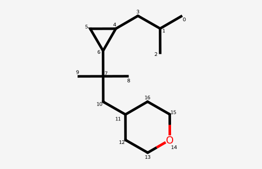 CC(C)CC1CC1C(C)(C)CC1CCOCC1